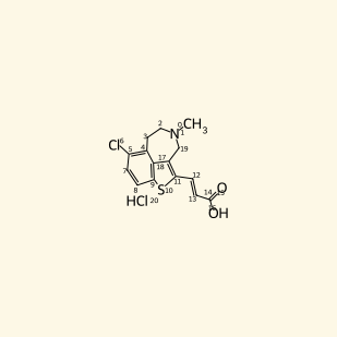 CN1CCc2c(Cl)ccc3sc(/C=C/C(=O)O)c(c23)C1.Cl